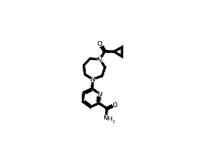 NC(=O)c1[c]ccc(N2CCCN(C(=O)C3CC3)CC2)n1